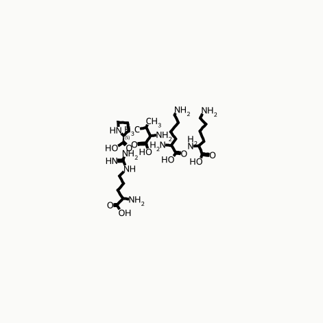 CC(C)C(N)C(=O)O.N=C(N)NCCCC(N)C(=O)O.NCCCCC(N)C(=O)O.NCCCCC(N)C(=O)O.O=C(O)[C@@H]1CCCN1